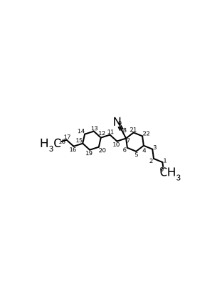 CCCCC1CCC(C#N)(CCC2CCC(CCC)CC2)CC1